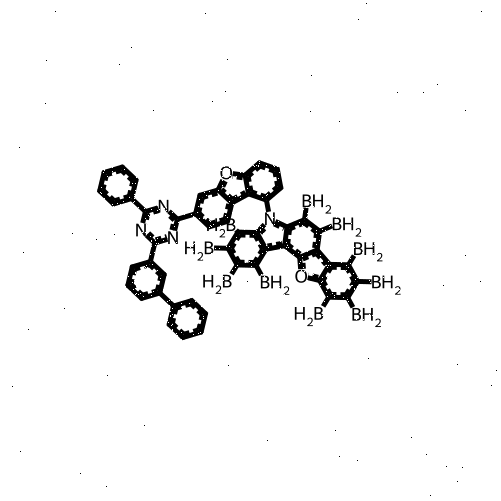 Bc1c(B)c(B)c2c(oc3c2c(B)c(B)c2c3c3c(B)c(B)c(B)c(B)c3n2-c2cccc3oc4cc(-c5nc(-c6ccccc6)nc(-c6cccc(-c7ccccc7)c6)n5)ccc4c23)c1B